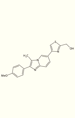 COc1ccc(-c2nc3ccc(-c4csc(CO)n4)cn3c2C)cc1